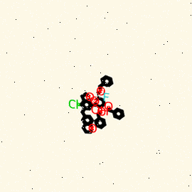 OC1(c2cc(Cc3ccc4c(c3)CCCO4)c(Cl)c3c2OCC3)O[C@H](COCc2ccccc2)[C@@H](F)[C@H](OCc2ccccc2)[C@H]1OCc1ccccc1